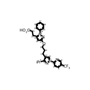 CC(C)c1nn(-c2ccc(C(F)(F)F)cn2)cc1CCCOc1cc(CCC(=O)O)n(-c2ccccc2)n1